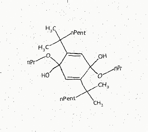 CCCCCC(C)(C)C1=CC(O)(OCCC)C(C(C)(C)CCCCC)=CC1(O)OCCC